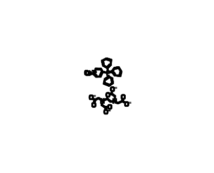 Clc1ccc([P+](c2ccccc2)(c2ccccc2)c2ccccc2)cc1.O=C([O-])CN(CCN(CC(=O)[O-])CC(=O)[O-])CC(=O)[O-].[Co+3]